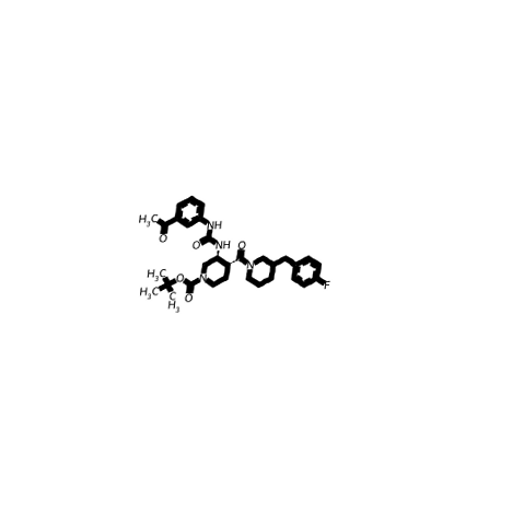 CC(=O)c1cccc(NC(=O)N[C@H]2CN(C(=O)OC(C)(C)C)CC[C@H]2C(=O)N2CCCC(Cc3ccc(F)cc3)C2)c1